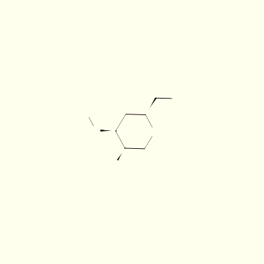 CCCCO[C@H]1C[C@@H](COC(C)=O)OC[C@H]1O